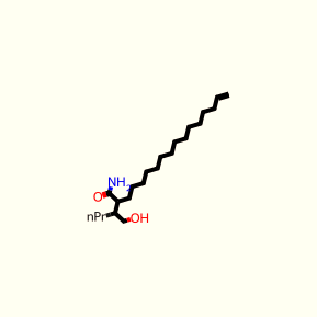 C=CCCCCCCCCCCCCCC(C(N)=O)C(CO)CCC